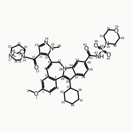 COc1ccc2c(c1)C=C(c1c(C(=O)N3CCN4CCC3CC4)cnn1C)Cn1c-2c(C2CCCCC2)c2ccc(C(=O)NS(=O)(=O)N3CCOCC3)cc21